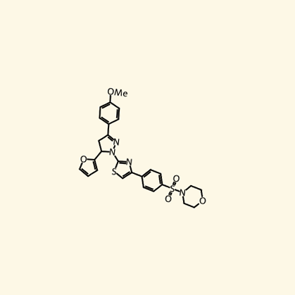 COc1ccc(C2=NN(c3nc(-c4ccc(S(=O)(=O)N5CCOCC5)cc4)cs3)C(c3ccco3)C2)cc1